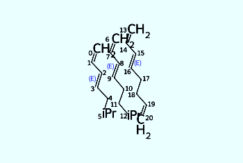 C=C/C=C/CC(C)C.C=C/C=C/CCC(C)C.C=C/C=C/CCC=C